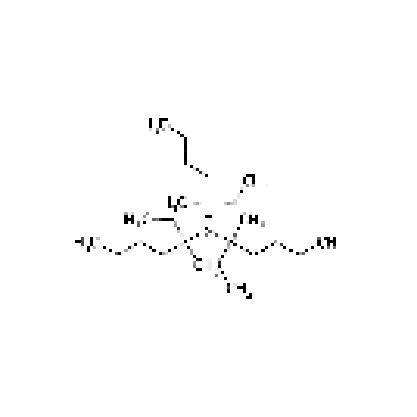 CCCCC(C)(CC)[SiH](C(C)(CC)CCCC)C(C)(CC)CCCC